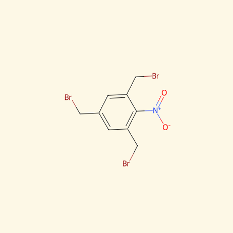 O=[N+]([O-])c1c(CBr)cc(CBr)cc1CBr